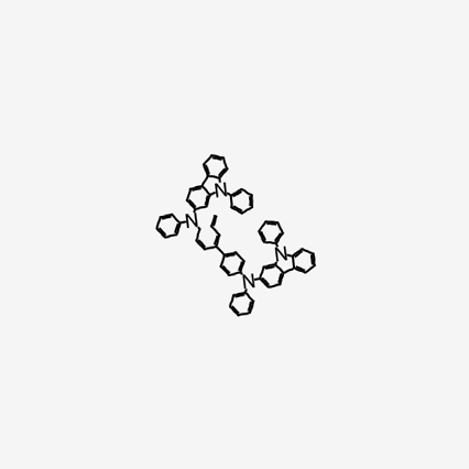 C=C/C=C(\C=C/CN(c1ccccc1)c1ccc2c3ccccc3n(-c3ccccc3)c2c1)c1ccc(N(c2ccccc2)c2ccc3c4ccccc4n(-c4ccccc4)c3c2)cc1